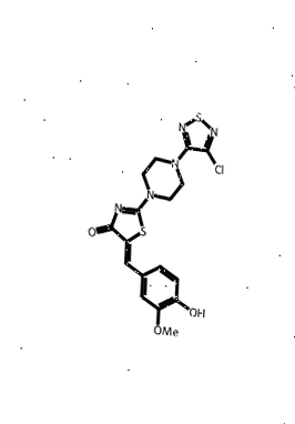 COc1cc(/C=C2\SC(N3CCN(c4nsnc4Cl)CC3)=NC2=O)ccc1O